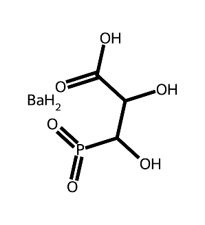 O=C(O)C(O)C(O)P(=O)=O.[BaH2]